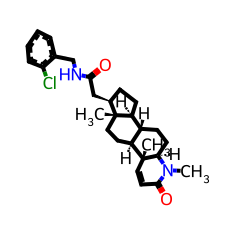 CN1C(=O)C=C[C@]2(C)[C@H]3CC[C@]4(C)[C@@H](CC(=O)NCc5ccccc5Cl)CC[C@H]4[C@@H]3CC[C@@H]12